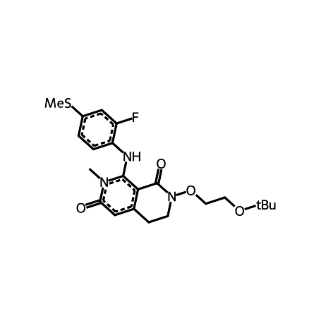 CSc1ccc(Nc2c3c(cc(=O)n2C)CCN(OCCOC(C)(C)C)C3=O)c(F)c1